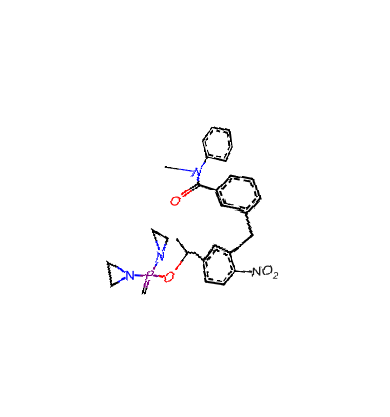 C=P(OC(C)c1ccc([N+](=O)[O-])c(Cc2cccc(C(=O)N(C)c3ccccc3)c2)c1)(N1CC1)N1CC1